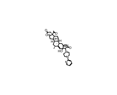 CC(=O)[C@@]1(CC(=O)O)CC[C@H]2[C@@H]3C[C@H](C)C4=CC(O)(C(C(=O)O)N5CCN(c6ccccn6)CC5)C(O)C[C@]4(C)[C@H]3CC[C@@]21C